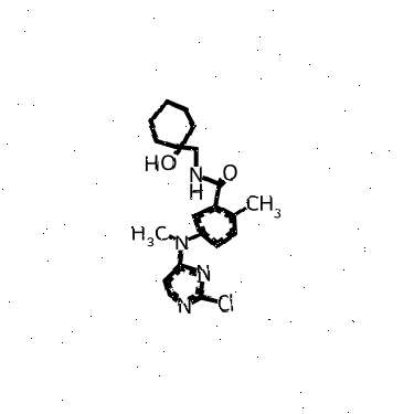 Cc1ccc(N(C)c2ccnc(Cl)n2)cc1C(=O)NCC1(O)CCCCC1